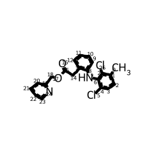 Cc1ccc(Cl)c(Nc2ccccc2CC(=O)OCc2ccccn2)c1Cl